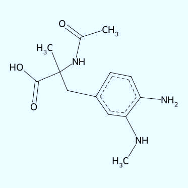 CNc1cc(CC(C)(NC(C)=O)C(=O)O)ccc1N